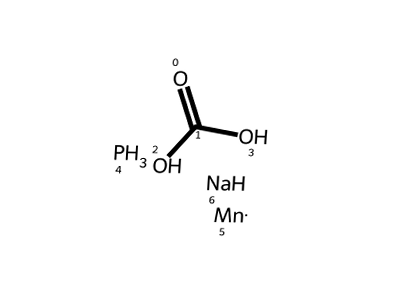 O=C(O)O.P.[Mn].[NaH]